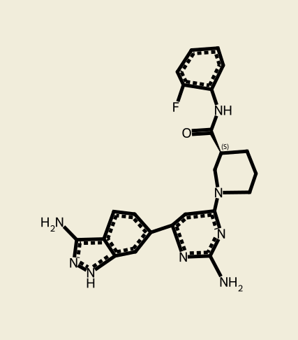 Nc1nc(-c2ccc3c(N)n[nH]c3c2)cc(N2CCC[C@H](C(=O)Nc3ccccc3F)C2)n1